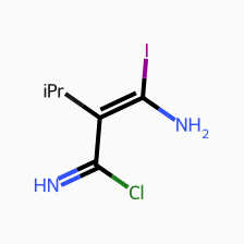 CC(C)/C(C(=N)Cl)=C(/N)I